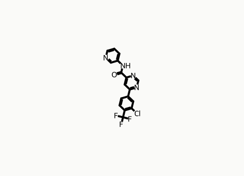 O=C(Nc1cccnc1)c1cc(-c2ccc(C(F)(F)F)c(Cl)c2)ncn1